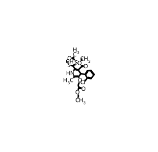 CCOC(=O)COC1=C(C)NC(C(SC)SC(C)=O)=C(C(=O)OC)C1c1ccccc1Cl